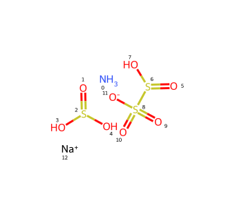 N.O=S(O)O.O=S(O)S(=O)(=O)[O-].[Na+]